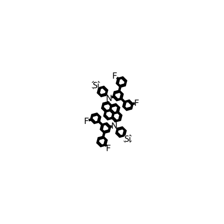 C[Si](C)(C)c1ccc(N(c2cc(-c3cccc(F)c3)cc(-c3cccc(F)c3)c2)c2ccc3ccc4c(N(c5ccc([Si](C)(C)C)cc5)c5cc(-c6cccc(F)c6)cc(-c6cccc(F)c6)c5)ccc5ccc2c3c54)cc1